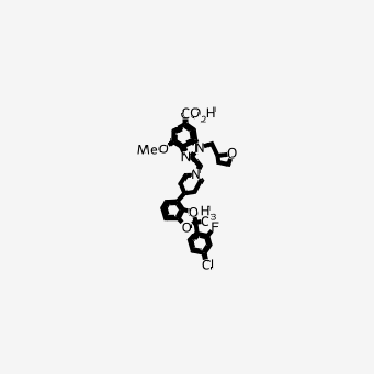 COc1cc(C(=O)O)cc2c1nc(CN1CCC(c3cccc4c3OC(C)(c3ccc(Cl)cc3F)O4)CC1)n2CC1CCO1